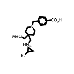 CCC1C[C@H]1NCC1(COC)CCN(Cc2ccc(C(=O)O)cc2)CC1